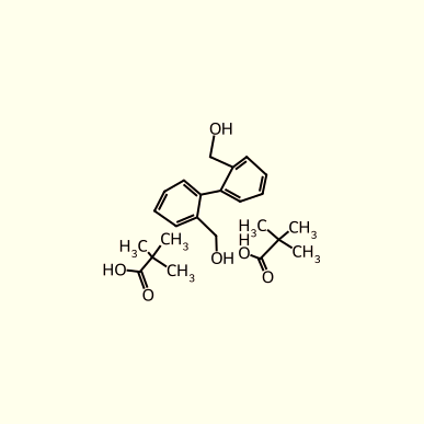 CC(C)(C)C(=O)O.CC(C)(C)C(=O)O.OCc1ccccc1-c1ccccc1CO